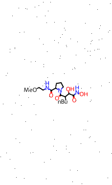 CCCCC(C(=O)N1CCCC1C(=O)NCCOC)C(O)C(=O)NO